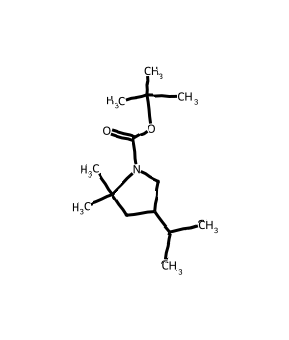 CC(C)C1CN(C(=O)OC(C)(C)C)C(C)(C)C1